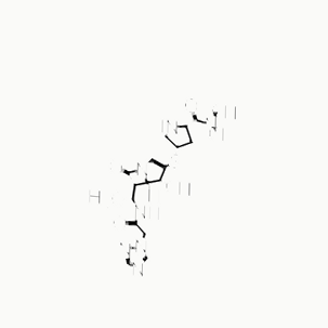 C[C@@H](NC(=O)Cn1cncn1)[C@H]1C(=O)N2C=C(S[C@@H]3CN[C@H](C(=O)N(C)C)C3)[C@H](C)[C@H]12